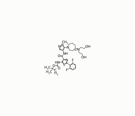 Cn1ncc(NC(=O)c2nc(-c3c(F)cccc3F)sc2NC(=O)OC(C)(C)C)c1N1CCC[C@@H](N(CCO)CCO)CC1